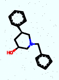 O[C@H]1C[C@@H](c2ccccc2)CN(Cc2ccccc2)C1